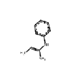 CC=C(C)Nc1ccccc1